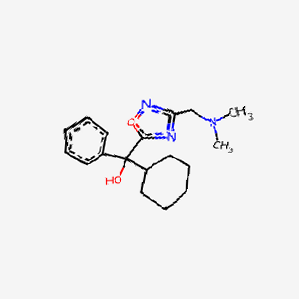 CN(C)Cc1noc(C(O)(c2ccccc2)C2CCCCC2)n1